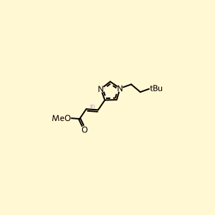 COC(=O)/C=C/c1cn(CCC(C)(C)C)cn1